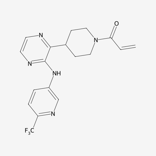 C=CC(=O)N1CCC(c2nccnc2Nc2ccc(C(F)(F)F)nc2)CC1